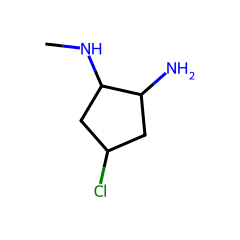 CNC1CC(Cl)CC1N